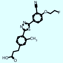 Cc1cc(CCC(=O)O)ccc1-c1nnc(-c2ccc(OCCF)c(C#N)c2)s1